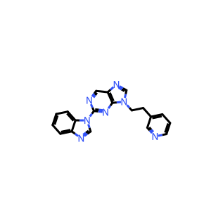 c1cncc(CCn2cnc3cnc(-n4cnc5ccccc54)nc32)c1